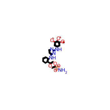 COc1cc(Nc2nccc(NC3=C(C4=COC(S(N)(=O)=O)=CO4)CCC=C3)n2)cc(OC)c1OC